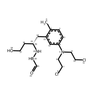 Cc1ccc(N(CCCl)CCCl)cc1C[C@@H](CCO)NBC=O